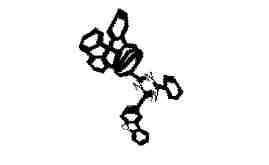 c1ccc(-c2nc(-c3cccc(-c4cccc5c4C4(c6ccccc6-c6ccccc64)c4ccccc4-5)c3)nc(-c3ccc4oc5ccccc5c4c3)n2)cc1